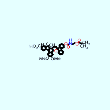 C=C(C)C(=O)OCCNC(=O)Oc1ccc(C2(c3ccccc3)C=Cc3c4c(c5cc(OC)c(OC)cc5c3O2)-c2ccc(C(=O)O)cc2C4(C)C)cc1